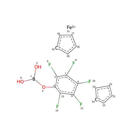 OB(O)Oc1c(F)c(F)c(F)c(F)c1F.[Fe+2].c1cc[cH-]c1.c1cc[cH-]c1